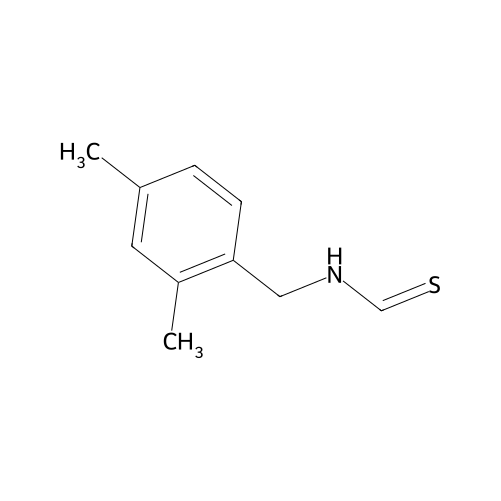 Cc1ccc(CNC=S)c(C)c1